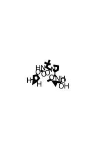 CC[C@@H]1CC1(NC(=O)[C@@H]1CCCN1C(=O)[C@@H](NC(=O)O[C@@H]1C[C@@H]2C[C@@H]2C1)C(C)(C)C)C(=O)O